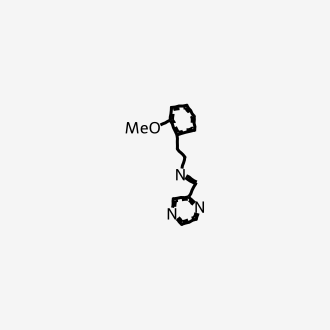 COc1ccccc1CCN=Cc1cnccn1